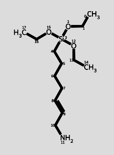 CCO[Si](CCCCC=CCN)(OCC)OCC